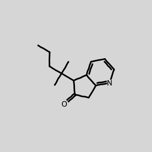 CCCC(C)(C)C1C(=O)Cc2ncccc21